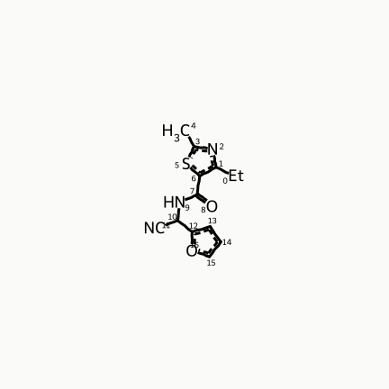 CCc1nc(C)sc1C(=O)NC(C#N)c1ccco1